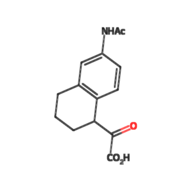 CC(=O)Nc1ccc2c(c1)CCCC2C(=O)C(=O)O